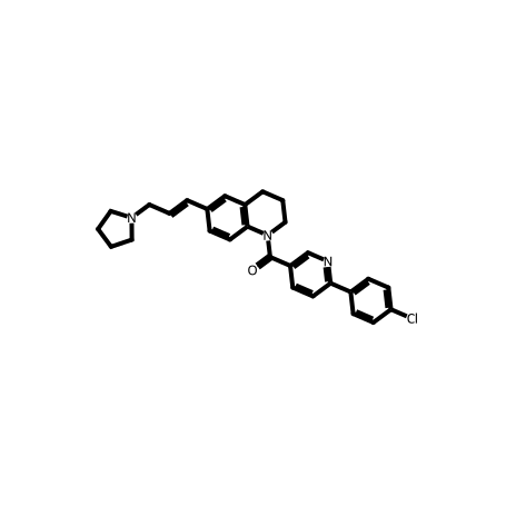 O=C(c1ccc(-c2ccc(Cl)cc2)nc1)N1CCCc2cc(/C=C/CN3CCCC3)ccc21